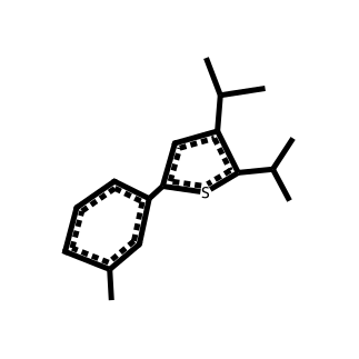 Cc1cccc(-c2cc(C(C)C)c(C(C)C)s2)c1